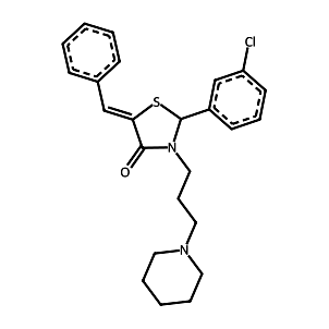 O=C1/C(=C/c2ccccc2)SC(c2cccc(Cl)c2)N1CCCN1CCCCC1